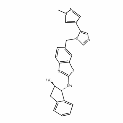 Cn1cc(-c2cncn2Cc2ccc3nc(N[C@@H]4c5ccccc5C[C@H]4O)sc3c2)cn1